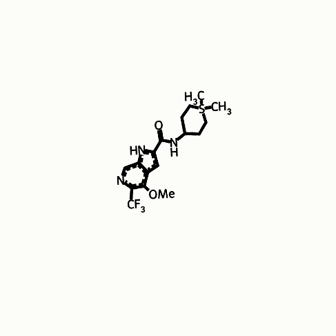 COc1c(C(F)(F)F)ncc2[nH]c(C(=O)NC3CCS(C)(C)CC3)cc12